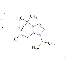 CCCC1N(C(C)C)N=CN1C(C)(C)C